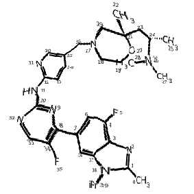 Cc1nc2c(F)cc(-c3nc(Nc4ccc(CN5CCO[C@@](C)(C[C@H](C)N(C)C)C5)cn4)ncc3F)cc2n1C(C)C